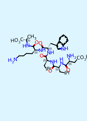 CC(C)C[C@H](NC(=O)[C@H](CC(C)C)NC(=O)[C@@H](N)CC(=O)O)C(=O)N[C@@H](Cc1c[nH]c2ccccc12)C(=O)N[C@@H](CCCCN)C(=O)N[C@@H](C)C(=O)O